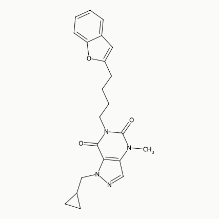 Cn1c(=O)n(CCCCc2cc3ccccc3o2)c(=O)c2c1cnn2CC1CC1